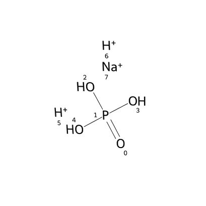 O=P(O)(O)O.[H+].[H+].[Na+]